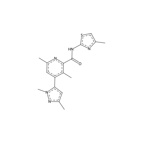 Cc1csc(NC(=O)c2nc(C)cc(-c3cc(C)nn3C)c2C)n1